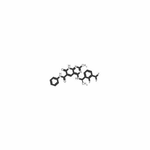 Cc1nc(N[C@H](C)c2cccc(C(F)F)c2F)c2cc(C(=O)Nc3ccccc3)c(=O)[nH]c2n1